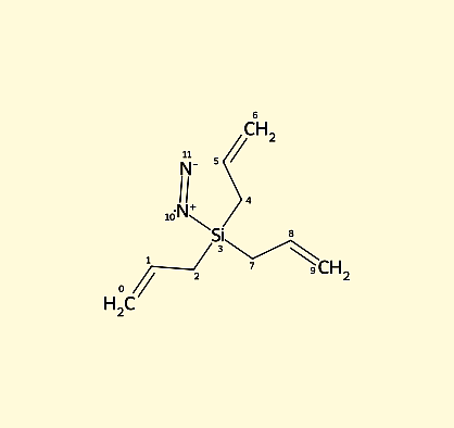 C=CC[Si](CC=C)(CC=C)[N+]=[N-]